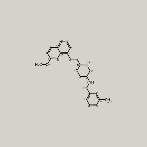 COc1ccc2nccc(CCC3OCC(NCc4cccc(C)c4)CO3)c2c1